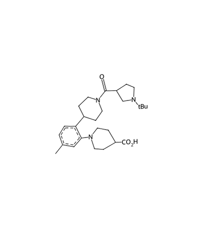 Cc1ccc(C2CCN(C(=O)C3CCN(C(C)(C)C)C3)CC2)c(N2CCC(C(=O)O)CC2)c1